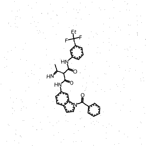 CCC(F)(F)c1cccc(NC(=O)C(C(C)=N)C(=O)Nc2ccc3ccn(C(=O)c4ccccc4)c3c2)c1